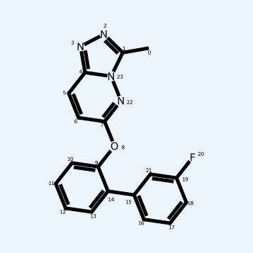 Cc1nnc2ccc(Oc3ccccc3-c3cccc(F)c3)nn12